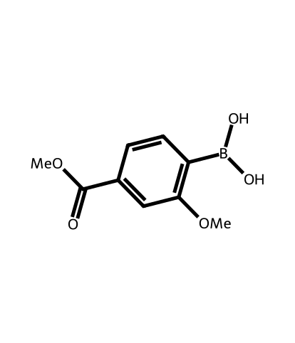 COC(=O)c1ccc(B(O)O)c(OC)c1